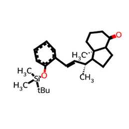 C[C@H](C=Cc1ccccc1O[Si](C)(C)C(C)(C)C)C1CCC2C(=O)CCC[C@@]21C